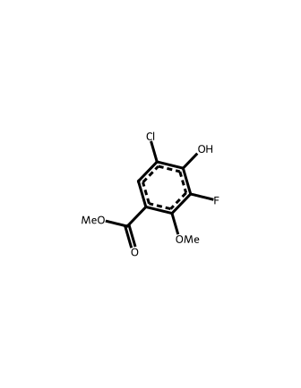 COC(=O)c1cc(Cl)c(O)c(F)c1OC